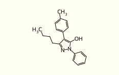 CCCCc1nn(-c2ccccc2)c(O)c1-c1ccc(C)cc1